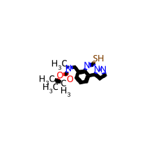 CN(Cc1cccc2c1nc(S)n1nccc21)C(=O)OC(C)(C)C